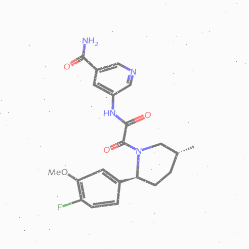 COc1cc([C@@H]2CC[C@@H](C)CN2C(=O)C(=O)Nc2cncc(C(N)=O)c2)ccc1F